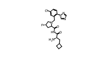 N[C@H](CC1CCC1)C(=O)NC(=O)C1C[C@@H](F)CN1Cc1cc(Cl)ccc1-n1cncn1